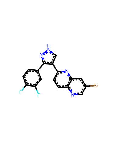 Fc1ccc(-c2n[nH]cc2-c2ccc3ncc(Br)cc3n2)cc1F